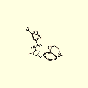 CC1CN(Cc2ccc3c(c2)OCCN3C)CC1NC(=O)c1cc(C2CC2)on1